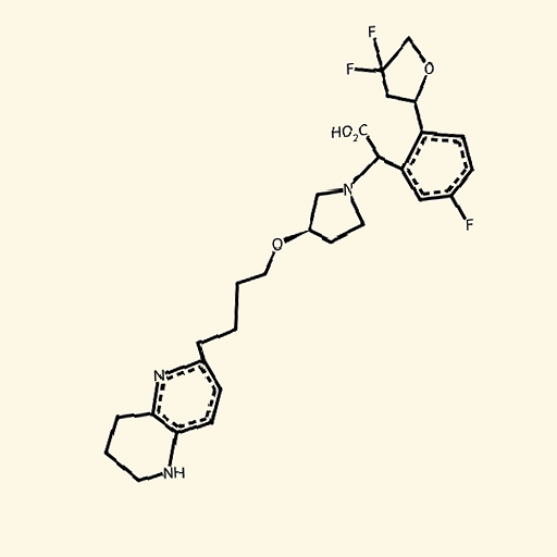 O=C(O)C(c1cc(F)ccc1C1CC(F)(F)CO1)N1CC[C@@H](OCCCCc2ccc3c(n2)CCCN3)C1